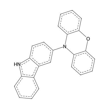 c1ccc2c(c1)Oc1ccccc1N2c1ccc2[nH]c3ccccc3c2c1